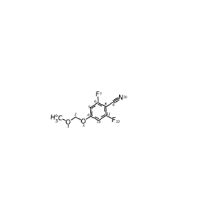 COCOc1cc(F)c(C#N)c(F)c1